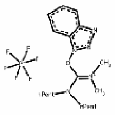 CCCCCN(CCCCC)C(On1nnc2ccccc21)=[N+](C)C.F[P-](F)(F)(F)(F)F